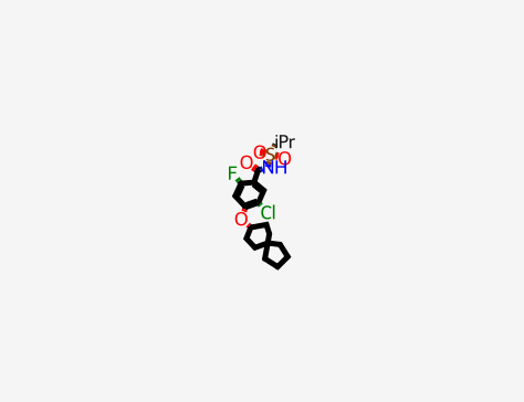 CC(C)S(=O)(=O)NC(=O)c1cc(Cl)c(OC2CCC3(CCCC3)CC2)cc1F